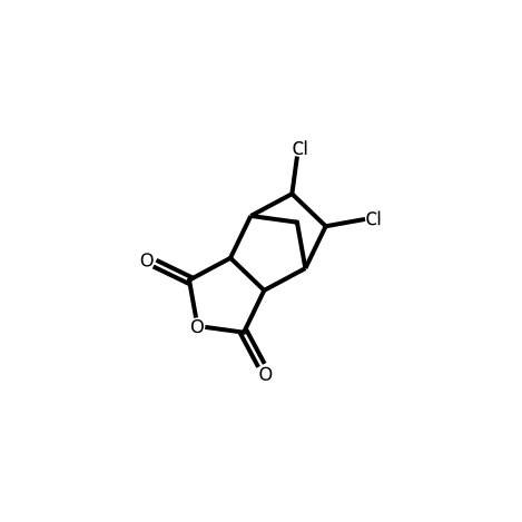 O=C1OC(=O)C2C3CC(C(Cl)C3Cl)C12